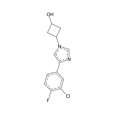 OC1CC(n2cnc(-c3ccc(F)c(Cl)c3)c2)C1